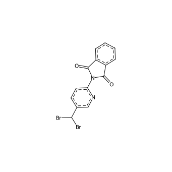 O=C1c2ccccc2C(=O)N1c1ccc(C(Br)Br)cn1